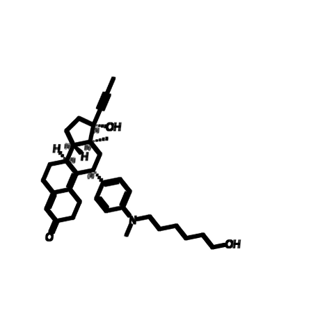 CC#C[C@]1(O)CC[C@H]2[C@@H]3CCC4=CC(=O)CCC4=C3[C@@H](c3ccc(N(C)CCCCCCO)cc3)C[C@@]21C